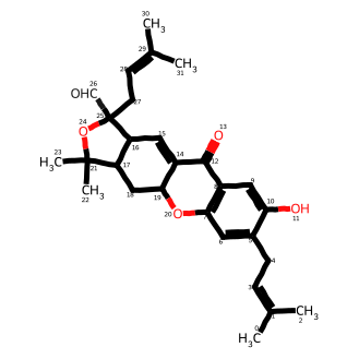 CC(C)=CCc1cc2c(cc1O)C(=O)C1=CC3C(CC1O2)C(C)(C)OC3(C=O)CC=C(C)C